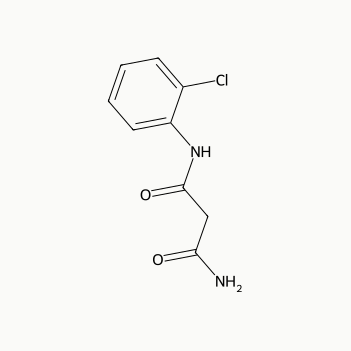 NC(=O)CC(=O)Nc1ccccc1Cl